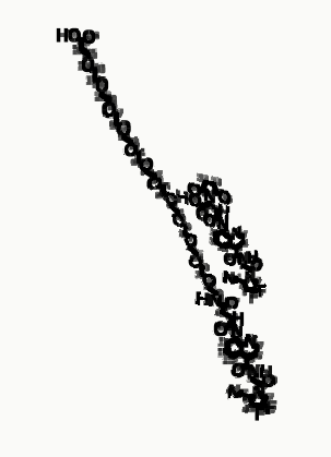 N#CC1CC(F)(F)CN1C(=O)CNC(=O)c1ccnc2c(NC(=O)C[C@@H](C(=O)O)N3C(=O)CCC3=O)cccc12.N#C[C@@H]1CC(F)(F)CN1C(=O)CNC(=O)c1ccnc2c(NC(=O)CCC(=O)NCCOCCOCCOCCOCCOCCOCCOCCOCCOCCOCCOCCOCCC(=O)O)cccc12